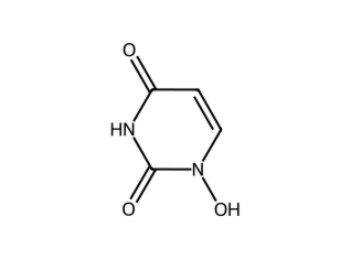 O=c1ccn(O)c(=O)[nH]1